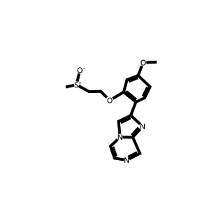 COc1ccc(-c2cn3ccncc3n2)c(OCC[S+](C)[O-])c1